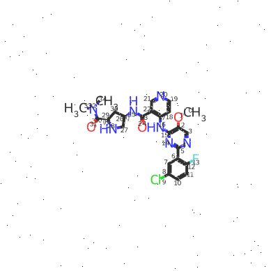 COc1cnc(-c2cc(Cl)ccc2F)nc1Nc1ccncc1C(=O)N[C@H]1CN[C@@H](C(=O)N(C)C)C1